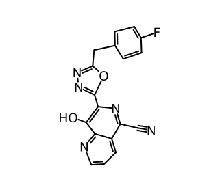 N#Cc1nc(-c2nnc(Cc3ccc(F)cc3)o2)c(O)c2ncccc12